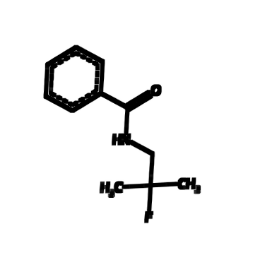 CC(C)(F)CNC(=O)c1ccccc1